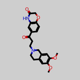 COc1cc2c(cc1OC)CN(CCC(=O)c1ccc3c(c1)NC(=O)CO3)CC2